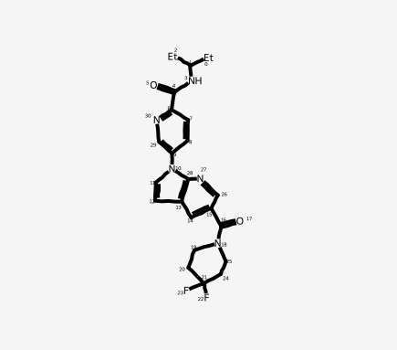 CCC(CC)NC(=O)c1ccc(-n2ccc3cc(C(=O)N4CCC(F)(F)CC4)cnc32)cn1